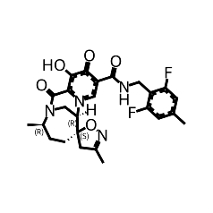 CC1=NO[C@@]2(CC[C@@H](C)N3C[C@H]2n2cc(C(=O)NCc4c(F)cc(C)cc4F)c(=O)c(O)c2C3=O)C1